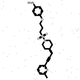 CNc1ccc(OCCCS(=O)(=O)N2CCC(=CC#Cc3cccc(C)n3)CC2)cc1